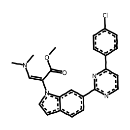 COC(=O)C(=CN(C)C)n1ccc2ccc(-c3nccc(-c4ccc(Cl)cc4)n3)cc21